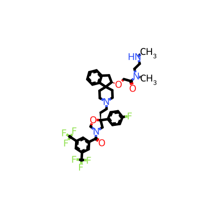 CNCCN(C)C(=O)CO[C@H]1Cc2ccccc2C12CCN(CC[C@@]1(c3ccc(F)cc3)CN(C(=O)c3cc(C(F)(F)F)cc(C(F)(F)F)c3)CO1)CC2